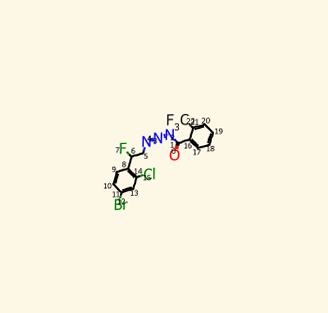 O=C(N=[N+]=NCC(F)c1ccc(Br)cc1Cl)c1ccccc1C(F)(F)F